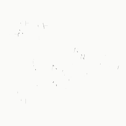 C=N/C(=C\C(=C/C)c1ccc(OC)cc1NC(=O)N=S(N)(=O)c1cnn2c1OCC(C)(C)C2)OC